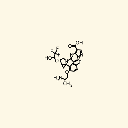 C[C@@H](N)COc1ccc(F)cc1C12CC1CCN2c1ccn2ncc(C(=O)O)c2n1.O=C(O)C(F)(F)F